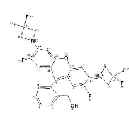 OCc1ccccc1-c1c2cc(F)c(=[N+]3CC(F)(F)C3)cc-2oc2cc(N3CC(F)(F)C3)c(F)cc12